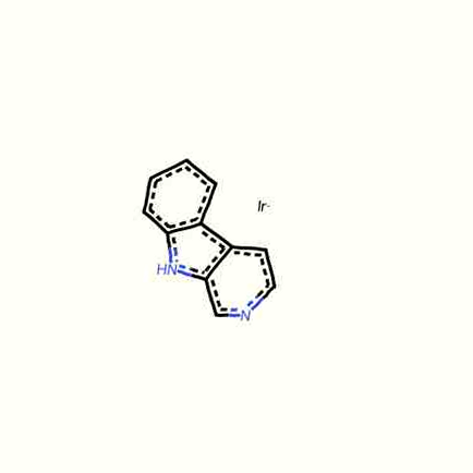 [Ir].c1ccc2c(c1)[nH]c1cnccc12